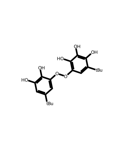 CC(C)(C)c1cc(O)c(O)c(OOc2cc(C(C)(C)C)c(O)c(O)c2O)c1